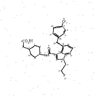 CCOC(=O)CC1CCC(NC(=O)c2cn(CCF)c3nccc(Cc4ccc(C(F)(F)F)cc4)c23)CC1